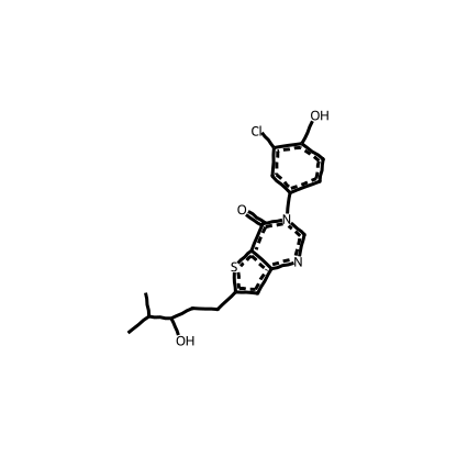 CC(C)C(O)CCc1cc2ncn(-c3ccc(O)c(Cl)c3)c(=O)c2s1